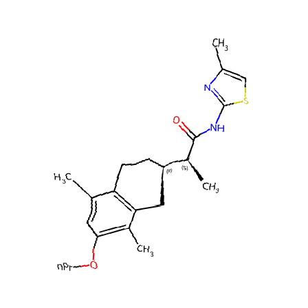 CCCOc1cc(C)c2c(c1C)C[C@H]([C@H](C)C(=O)Nc1nc(C)cs1)CC2